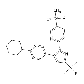 CS(=O)(=O)c1ccc(-n2nc(C(F)(F)F)cc2-c2ccc(N3CCCCC3)cc2)nc1